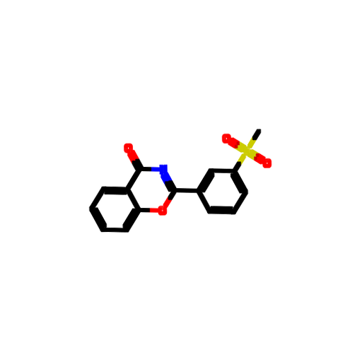 CS(=O)(=O)c1cccc(-c2nc(=O)c3ccccc3o2)c1